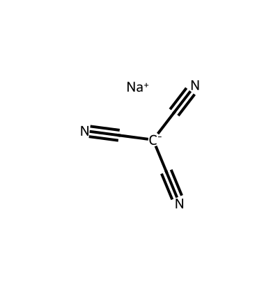 N#C[C-](C#N)C#N.[Na+]